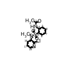 CC(=O)Nc1ccccc1S(=O)(=O)N(C)c1cccnc1Cl